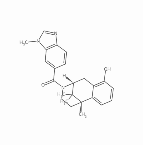 Cn1cnc2ccc(C(=O)N3CC[C@@]4(C)c5cccc(O)c5C[C@@H]3C4(C)C)cc21